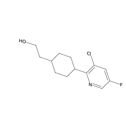 OCCC1CCC(c2ncc(F)cc2Cl)CC1